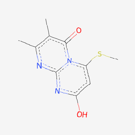 CSc1cc(O)nc2nc(C)c(C)c(=O)n12